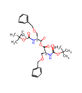 CC(C)(C)OC(=O)N[C@@H](COCc1ccccc1)C(=O)OC(=O)[C@H](COCc1ccccc1)NC(=O)OC(C)(C)C